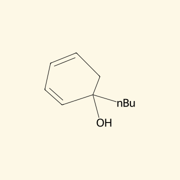 CCCCC1(O)C=CC=CC1